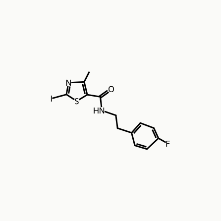 Cc1nc(I)sc1C(=O)NCCc1ccc(F)cc1